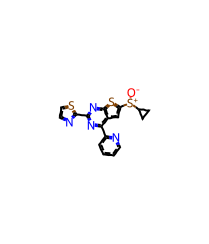 [O-][S+](c1cc2c(-c3ccccn3)nc(-c3nccs3)nc2s1)C1CC1